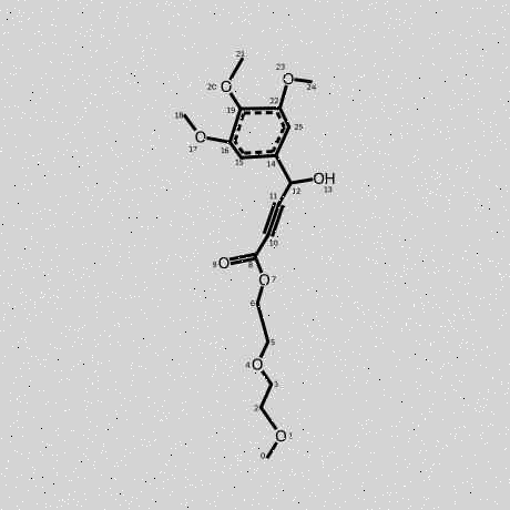 COCCOCCOC(=O)C#CC(O)c1cc(OC)c(OC)c(OC)c1